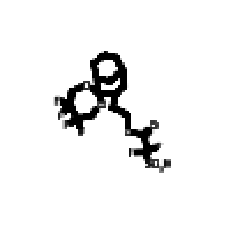 O=C(OCCC1CC2CCCC(C2)C12OCC(F)(F)C(F)(F)CO2)C(F)(F)S(=O)(=O)O